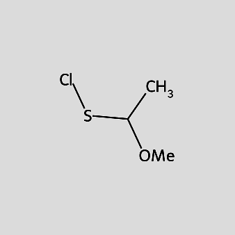 COC(C)SCl